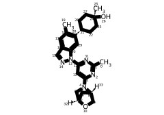 Cc1nc(N2C[C@H]3C[C@@H]2CO3)cc(-n2ncc3cc(C)c([C@H]4CC[C@](C)(O)CC4)cc32)n1